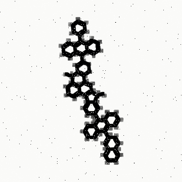 CN1C2=C(CCC(c3c4ccccc4c(-c4ccccc4)c4ccccc34)=C2)c2cc3c(c4cccc1c24)c1ccc(-c2c4ccccc4c(-c4ccc5ccccc5c4)c4ccccc24)cc1n3C